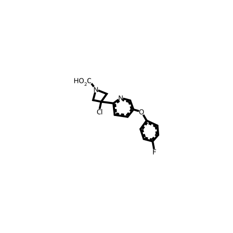 O=C(O)N1CC(Cl)(c2ccc(Oc3ccc(F)cc3)cn2)C1